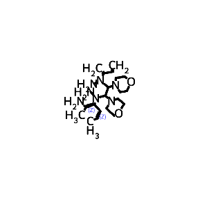 C=CC(=C)N(N)C(C(N1CCOCC1)N(N)C(/C=C\C)=C(/C)N)N1CCOCC1